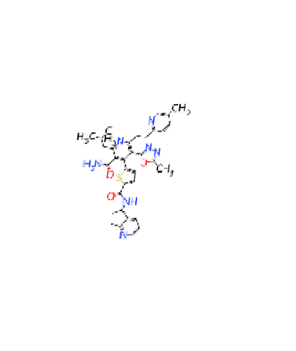 Cc1ccc(CCc2nc(CC(C)C)c(C(N)=O)c(-c3ccc(C(=O)N[C@@H]4CCc5ncccc54)s3)c2-c2nnc(C)o2)nc1